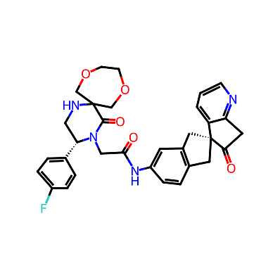 O=C(CN1C(=O)C2(COCCOC2)NC[C@H]1c1ccc(F)cc1)Nc1ccc2c(c1)C[C@@]1(C2)C(=O)Cc2ncccc21